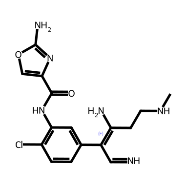 CNCC/C(N)=C(\C=N)c1ccc(Cl)c(NC(=O)c2coc(N)n2)c1